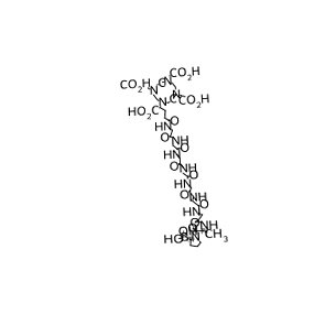 C[C@@H](NC(=O)CNC(=O)CNC(=O)CNC(=O)CNC(=O)CNC(=O)CNC(=O)CNC(=O)CCC(C(=O)O)N1CCN(CC(=O)O)CCN(CC(=O)O)CCN(CC(=O)O)CC1)C(=O)N1CCC[C@H]1B(O)O